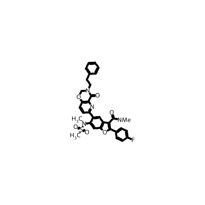 CNC(=O)c1c(-c2ccc(F)cc2)oc2cc(N(C)S(C)(=O)=O)c(-c3ccc4c(n3)C(=O)N(CCc3ccccc3)CO4)cc12